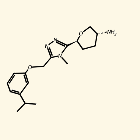 CC(C)c1cccc(OCc2nnc([C@@H]3CC[C@@H](N)CO3)n2C)c1